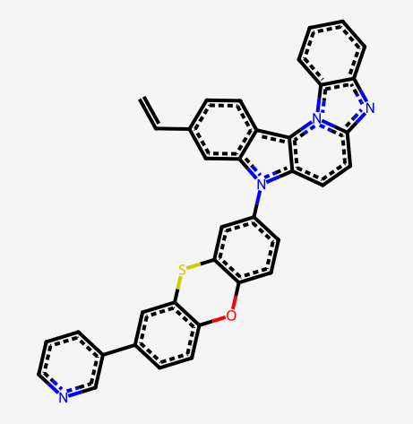 C=Cc1ccc2c(c1)n(-c1ccc3c(c1)Sc1cc(-c4cccnc4)ccc1O3)c1ccc3nc4ccccc4n3c21